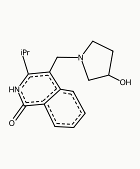 CC(C)c1[nH]c(=O)c2ccccc2c1CN1CCC(O)C1